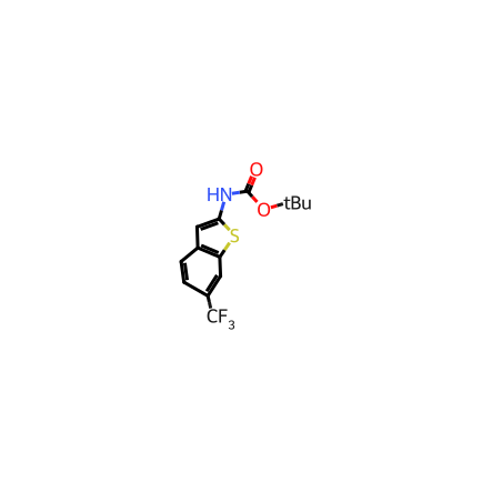 CC(C)(C)OC(=O)Nc1cc2ccc(C(F)(F)F)cc2s1